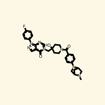 CN1CC2CC1CN2c1ccc(C(=O)N2CCC(O)(Cn3cnc4c(cnn4-c4ccc(F)cc4)c3=O)CC2)cc1